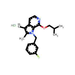 Cc1c(C)n(Cc2cccc(F)c2)c2c(OCC(C)C)nccc12.Cl